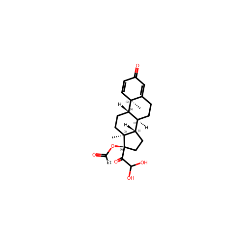 CCC(=O)O[C@]1(C(=O)C(O)O)CC[C@H]2[C@@H]3CCC4=CC(=O)C=C[C@]4(C)[C@H]3CC[C@@]21C